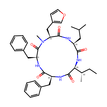 CC[C@H](C)[C@@H]1NC(=O)[C@H](CC(C)C)NC(=O)[C@H](Cc2ccoc2)N(C)C(=O)[C@H](Cc2ccccc2)NC(=O)[C@H](Cc2ccccc2)NC1=O